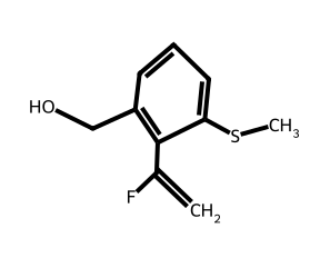 C=C(F)c1c(CO)cccc1SC